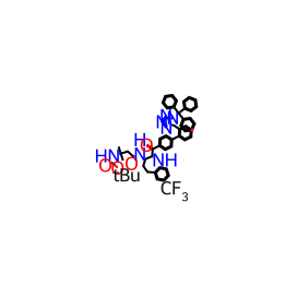 CC(C)(CC(=O)NC1CCc2cc(C(F)(F)F)ccc2NC1C(=O)c1ccc(-c2ccccc2-c2nnnn2C(c2ccccc2)(c2ccccc2)c2ccccc2)cc1)NC(=O)OC(C)(C)C